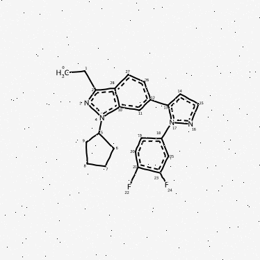 CCc1nn(C2CCCC2)c2cc(-c3ccnn3-c3ccc(F)c(F)c3)ccc12